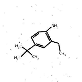 CCc1cc(C(C)(C)C)ccc1N